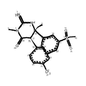 CN1C(=N)N[C@](C)(c2cccc(S(C)(=O)=O)c2)[C@@H](c2ccc(C(F)(F)F)cc2)C1=O